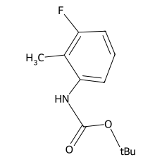 Cc1c(F)cccc1NC(=O)OC(C)(C)C